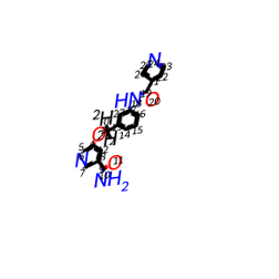 [2H]C([2H])(Oc1cncc(C(N)=O)c1)c1cccc(NC(=O)c2ccncc2)c1